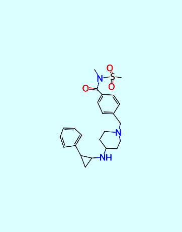 CN(C(=O)c1ccc(CN2CCC(NC3CC3c3ccccc3)CC2)cc1)S(C)(=O)=O